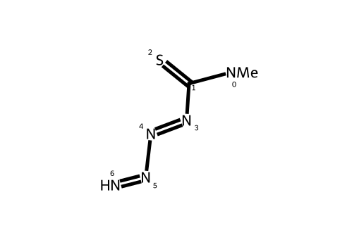 CNC(=S)/N=N/N=N